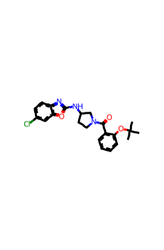 CC(C)(C)Oc1ccccc1C(=O)N1CCC(Nc2nc3ccc(Cl)cc3o2)C1